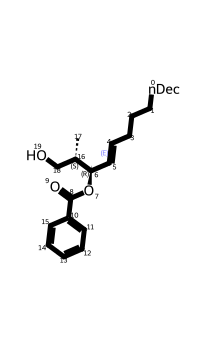 CCCCCCCCCCCCC/C=C/[C@@H](OC(=O)c1ccccc1)[C@@H](C)CO